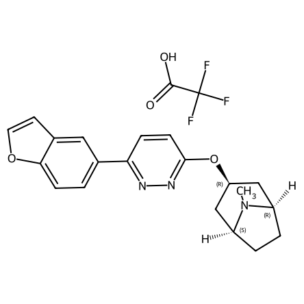 CN1[C@@H]2CC[C@H]1C[C@@H](Oc1ccc(-c3ccc4occc4c3)nn1)C2.O=C(O)C(F)(F)F